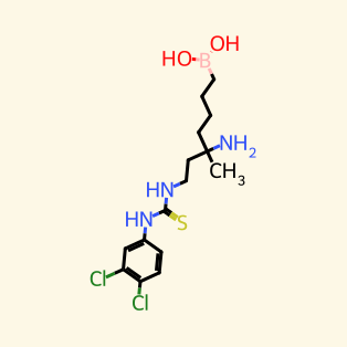 CC(N)(CCCCB(O)O)CCNC(=S)Nc1ccc(Cl)c(Cl)c1